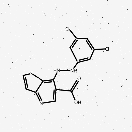 O=C(O)c1cnc2ccsc2c1NNc1cc(Cl)cc(Cl)c1